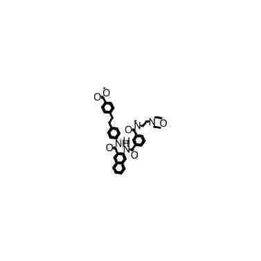 COC(=O)c1ccc(CCc2ccc(NC(=O)c3cc4ccccc4cc3NC(=O)c3cccc(C(=O)N(C)CCN4CCOCC4)c3)cc2)cc1